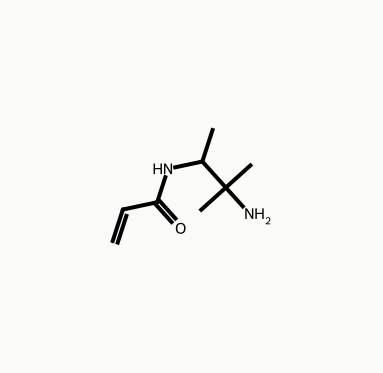 C=CC(=O)NC(C)C(C)(C)N